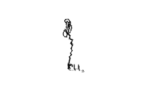 CCCCCCCCCCCCCC(=O)ON1CCCCC1